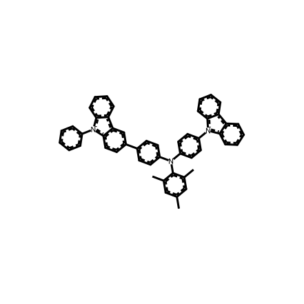 Cc1cc(C)c(N(c2ccc(-c3ccc4c(c3)c3ccccc3n4-c3ccccc3)cc2)c2ccc(-n3c4ccccc4c4ccccc43)cc2)c(C)c1